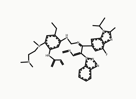 C=CC(=C)Nc1cc(NC/N=C(\C(=C/N=C)n2nnc3ccccc32)c2cc(F)c3nc(C)n(C(C)C)c3c2)c(CC)cc1N(C)CCN(C)C